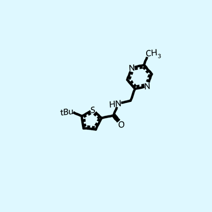 Cc1cnc(CNC(=O)c2ccc(C(C)(C)C)s2)cn1